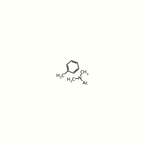 CC(=O)N(C)C.Cc1ccccc1